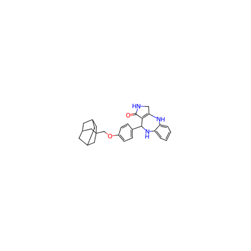 O=C1NCC2=C1C(c1ccc(OCC34CC5CC(CC(C5)C3)C4)cc1)Nc1ccccc1N2